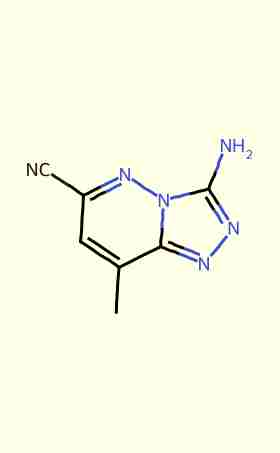 Cc1cc(C#N)nn2c(N)nnc12